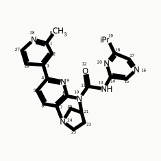 Cc1cc(-c2ccc3c(n2)N(C(=O)Nc2cncc(C(C)C)n2)C2CCN3C2)ccn1